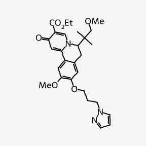 CCOC(=O)c1cn2c(cc1=O)-c1cc(OC)c(OCCCn3cccn3)cc1CC2C(C)(C)COC